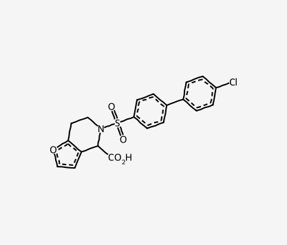 O=C(O)C1c2ccoc2CCN1S(=O)(=O)c1ccc(-c2ccc(Cl)cc2)cc1